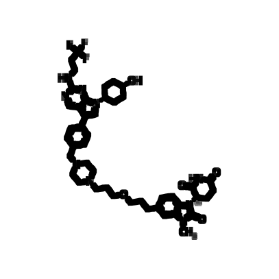 Cn1c(=O)n([C@H]2CCC(=O)NC2=O)c2ccc(CCCOCCCN3CCN(Cc4ccc(-c5cn([C@H]6CC[C@H](O)CC6)c6nc(NCCC(F)(F)F)ncc56)cc4)CC3)cc21